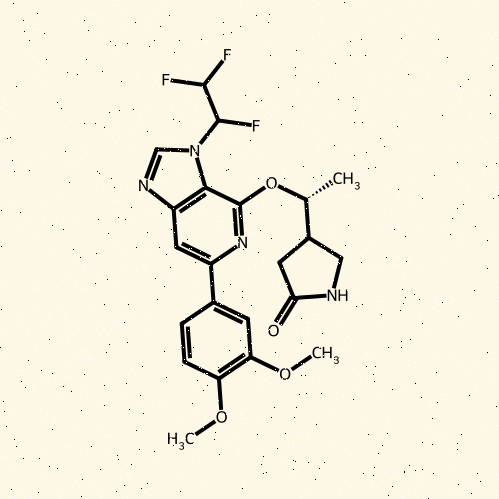 COc1ccc(-c2cc3ncn(C(F)C(F)F)c3c(O[C@H](C)C3CNC(=O)C3)n2)cc1OC